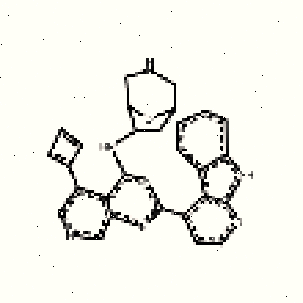 C1=CC(c2cncc3nc(-c4ccnc5[nH]c6ccccc6c45)nc(NC4CC5CNCC4O5)c23)=C1